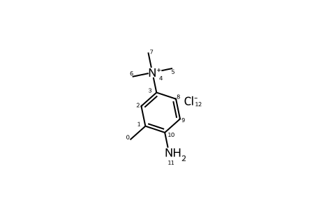 Cc1cc([N+](C)(C)C)ccc1N.[Cl-]